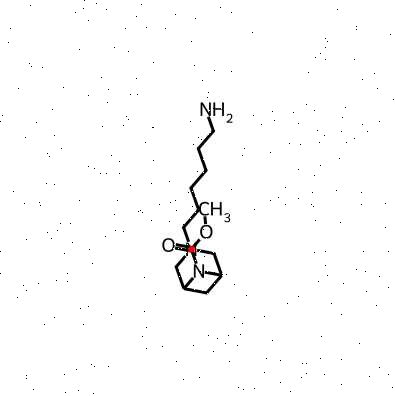 COC(=O)N1C2CC1CN(CCCCCCN)C2